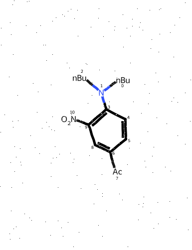 CCCCN(CCCC)c1ccc(C(C)=O)cc1[N+](=O)[O-]